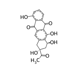 CC(=O)[C@@]1(O)Cc2cc3c(c(O)c2[C@@H](O)C1)C(=O)c1cccc(O)c1C3=O